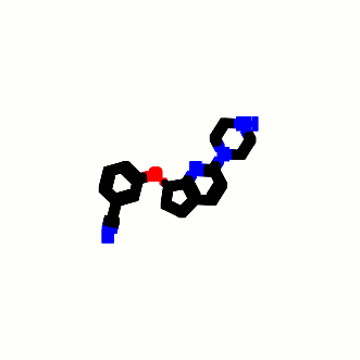 N#Cc1cccc(O[C@H]2CCc3ccc(N4CCNCC4)nc32)c1